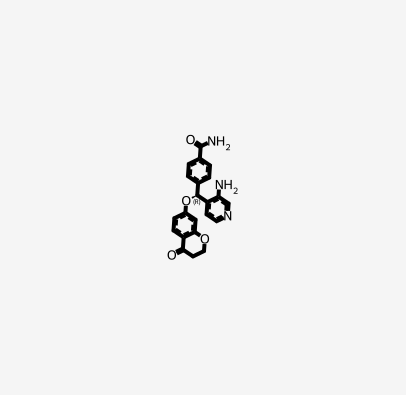 NC(=O)c1ccc([C@@H](Oc2ccc3c(c2)OCCC3=O)c2ccncc2N)cc1